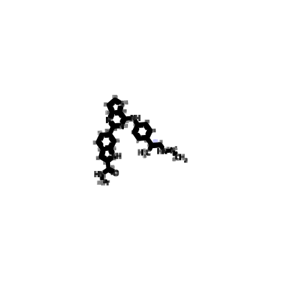 C=NN/C=C(\C)c1ccc(Nc2nc(-c3ccc4cc(C(=O)NC(C)C)[nH]c4c3)nc3ccsc23)cc1